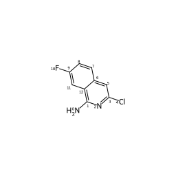 Nc1nc(Cl)cc2ccc(F)cc12